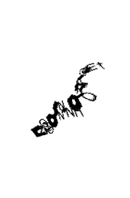 CCOCCN1CCN(C(=O)c2ccc(Nc3nccc(-c4ccc(S(=O)(=O)N5CCCC5)cc4)n3)cc2)CC1